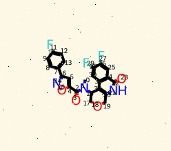 CN(C(=O)c1cc(-c2ccc(F)cc2)no1)C1COCc2[nH]c(=O)c3cc(F)c(F)cc3c21